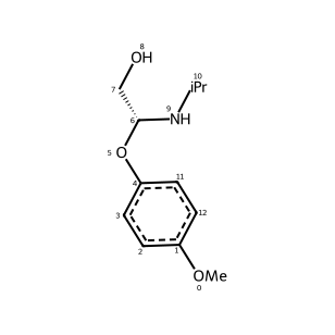 COc1ccc(O[C@H](CO)NC(C)C)cc1